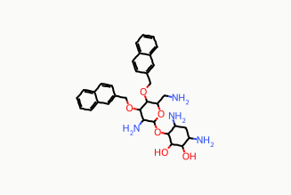 NCC1OC(OC2C(N)CC(N)C(O)C2O)C(N)C(OCc2ccc3ccccc3c2)C1OCc1ccc2ccccc2c1